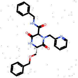 O=C(NCc1ccccc1)C1C(=O)N[C@@H](COCc2ccccc2)C(=O)N1Cc1ccccn1